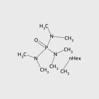 CCCCCCC.CN(C)P(=O)(N(C)C)N(C)C